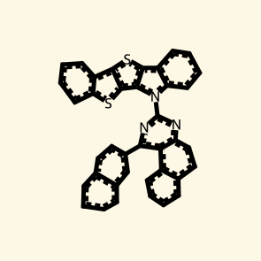 c1ccc2cc(-c3nc(-n4c5ccccc5c5sc6c7ccccc7sc6c54)nc4ccc5ccccc5c34)ccc2c1